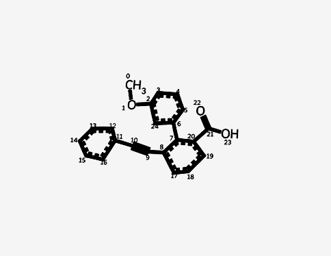 COc1cccc(-c2c(C#Cc3ccccc3)cccc2C(=O)O)c1